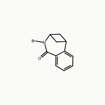 O=C1c2ccccc2C2CC(C2)N1Br